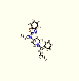 C=CCC(c1ccccc1)N1CCC(N(C)c2nc3ccccc3s2)CC1